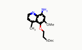 CCCCCCCCCCCCOc1c(OC)cc(N)c2nccc(C)c12